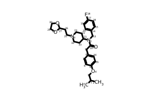 CC(C)COc1ccc(CC(=O)N(Cc2ccc(F)cc2)C2CCN(CCC3OCCO3)CC2)cc1